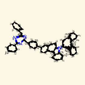 c1ccc(-c2nc(-c3ccccc3)nc(-c3ccc(-c4ccc5c(ccc6c5c5ccccc5n6-c5cc6ccccc6c6ccccc56)c4)cc3)n2)cc1